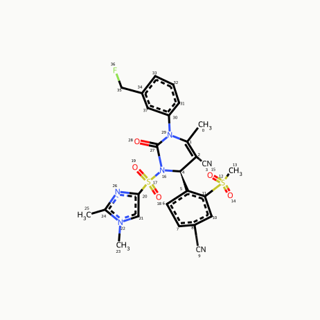 CC1=C(C#N)[C@@H](c2ccc(C#N)cc2S(C)(=O)=O)N(S(=O)(=O)c2cn(C)c(C)n2)C(=O)N1c1cccc(CF)c1